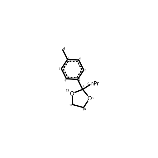 C[CH]CC1(c2ccc(C)cc2)OCCO1